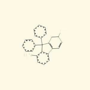 CC1C=CC2=C(C1)C(c1ccccc1)(c1ccccc1)c1c(N)cccc12